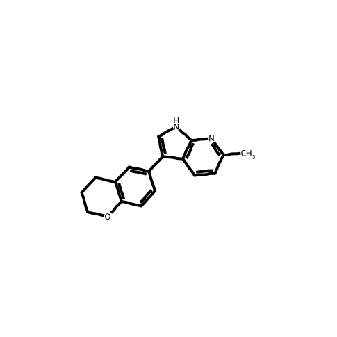 Cc1ccc2c(-c3ccc4c(c3)CCCO4)c[nH]c2n1